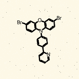 Brc1ccc2c(c1)Oc1cc(Br)ccc1N2c1ccc(-c2ccccn2)cc1